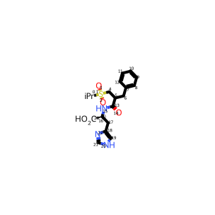 CC(C)S(=O)(=O)CC(Cc1ccccc1)C(=O)N[C@@H](Cc1c[nH]cn1)C(=O)O